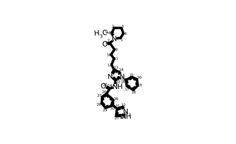 C[C@@H]1CCCCN1C(=O)CCCCc1cn(-c2ccccc2)c(NC(=O)c2cccc(-c3cn[nH]c3)c2)n1